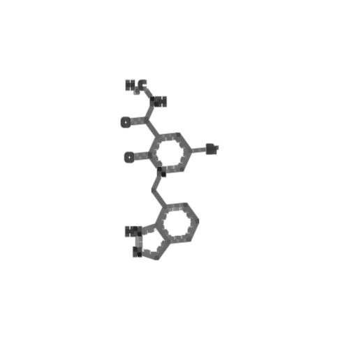 CNC(=O)c1cc(Br)cn(Cc2cccc3cn[nH]c23)c1=O